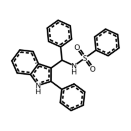 O=S(=O)(NC(c1ccccc1)c1c(-c2ccccc2)[nH]c2ccccc12)c1ccccc1